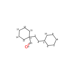 O=[C]C1(CCC2CCCCC2)CCCCC1